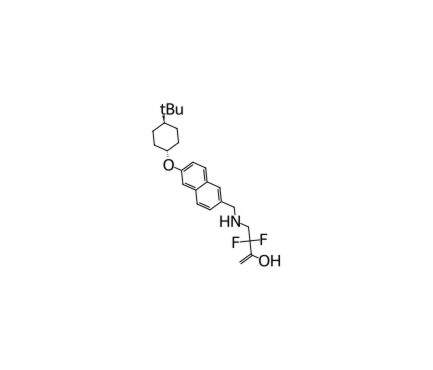 C=C(O)C(F)(F)CNCc1ccc2cc(O[C@H]3CC[C@H](C(C)(C)C)CC3)ccc2c1